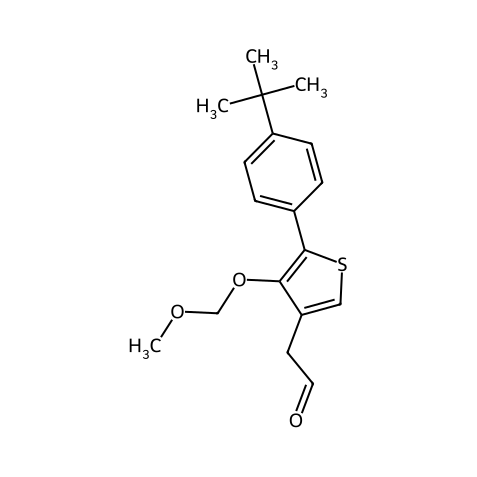 COCOc1c(CC=O)csc1-c1ccc(C(C)(C)C)cc1